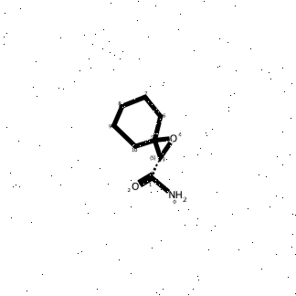 NC(=O)[C@H]1OC12CC[CH]CC2